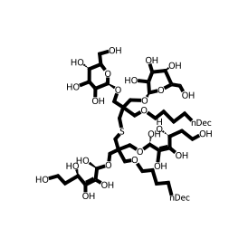 CCCCCCCCCCCCCCOCC(CO[C@@H]1OC(CO)[C@@H](O)C(O)C1O)(CO[C@@H]1OC(CO)[C@@H](O)C(O)C1O)CSCC(COCCCCCCCCCCCCCC)(CO[C@H](O)/C(O)=C(/O)[C@H](O)CCO)CO[C@H](O)/C(O)=C(/O)[C@H](O)CCO